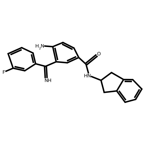 N=C(c1cccc(F)c1)c1cc(C(=O)NC2Cc3ccccc3C2)ccc1N